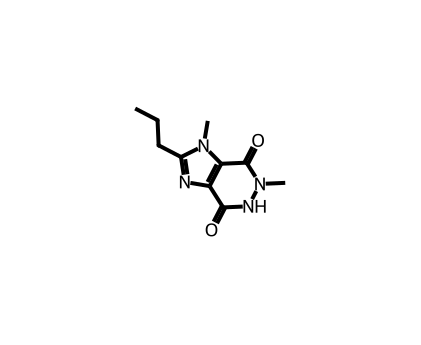 CCCc1nc2c(=O)[nH]n(C)c(=O)c2n1C